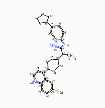 CC(c1nc2ccc(C3CCCC3)cc2[nH]1)C1CCC(c2ccnc3ccc(F)cc23)CC1